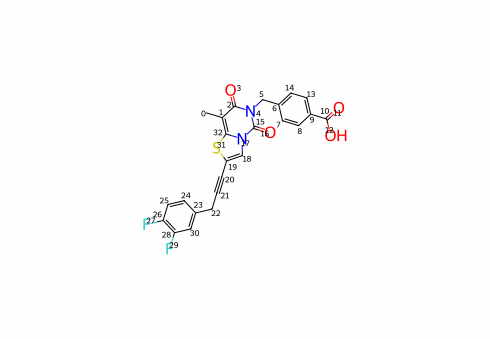 Cc1c(=O)n(Cc2ccc(C(=O)O)cc2)c(=O)n2cc(C#CCc3ccc(F)c(F)c3)sc12